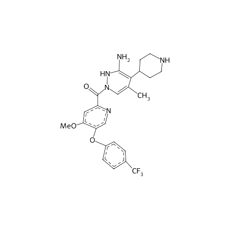 COc1cc(C(=O)N2C=C(C)C(C3CCNCC3)=C(N)N2)ncc1Oc1ccc(C(F)(F)F)cc1